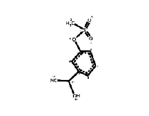 CS(=O)(=O)Oc1cccc(C(O)C#N)c1